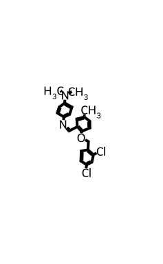 Cc1ccc(OCc2ccc(Cl)cc2Cl)c(/C=N\c2ccc(N(C)C)cc2)c1